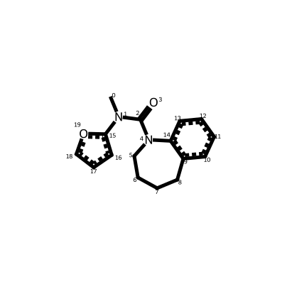 CN(C(=O)N1CCCCc2ccccc21)c1ccco1